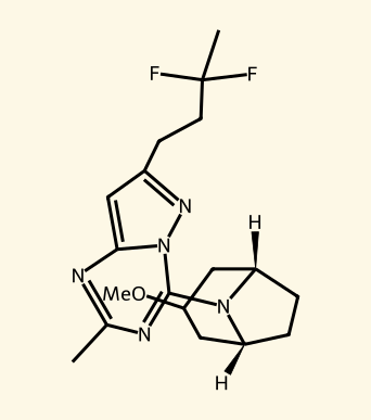 COC1C[C@H]2CC[C@@H](C1)N2c1nc(C)nc2cc(CCC(C)(F)F)nn12